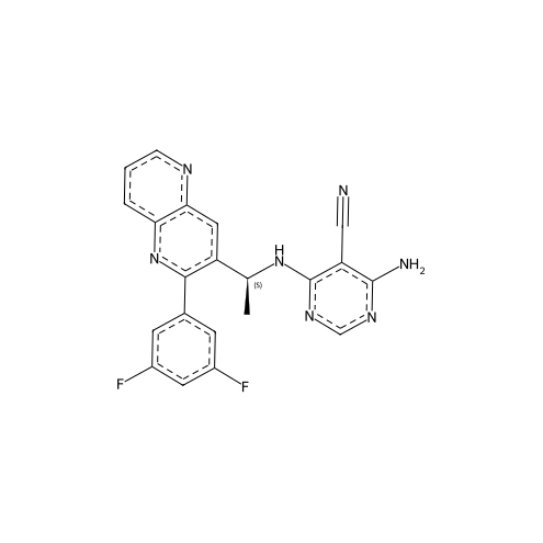 C[C@H](Nc1ncnc(N)c1C#N)c1cc2ncccc2nc1-c1cc(F)cc(F)c1